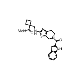 CNC(=O)C1(CNc2nc3c(s2)CN(C(=O)c2cc4ccccc4[nH]2)CC3)CCC1